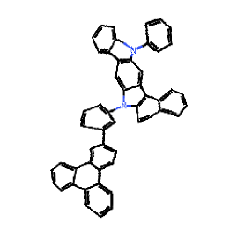 c1ccc(-n2c3ccccc3c3cc4c(cc32)c2c3ccccc3ccc2n4-c2cccc(-c3ccc4c5ccccc5c5ccccc5c4c3)c2)cc1